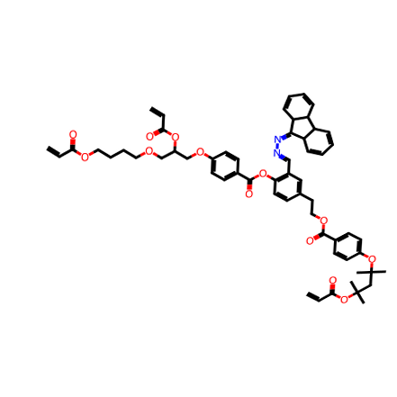 C=CC(=O)OCCCCOCC(COc1ccc(C(=O)Oc2ccc(CCOC(=O)c3ccc(OC(C)(C)CC(C)(C)OC(=O)C=C)cc3)cc2/C=N/N=C2C3C=CC=CC3C3C=CC=CC23)cc1)OC(=O)C=C